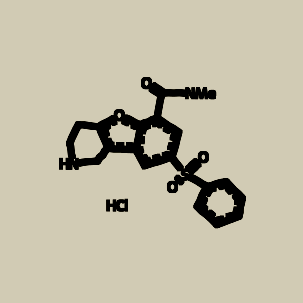 CNC(=O)c1cc(S(=O)(=O)c2ccccc2)cc2c3c(oc12)CCNC3.Cl